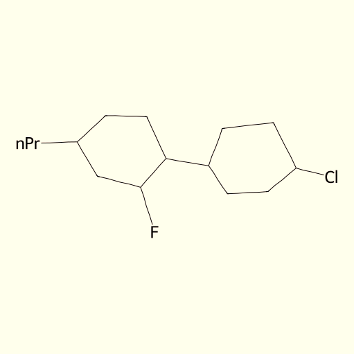 CCCC1CCC(C2CCC(Cl)CC2)C(F)C1